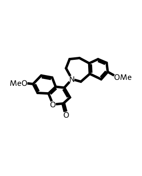 COc1ccc2c(c1)CN(c1cc(=O)oc3cc(OC)ccc13)CCC2